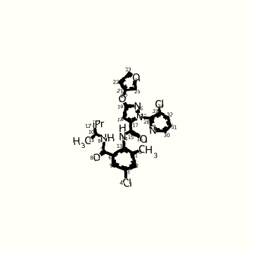 Cc1cc(Cl)cc(C(=O)NC(C)C(C)C)c1NC(=O)c1cc(Oc2ccoc2)nn1-c1ncccc1Cl